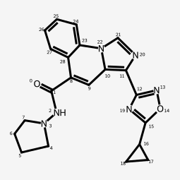 O=C(NN1CCCC1)c1cc2c(-c3noc(C4CC4)n3)ncn2c2ccccc12